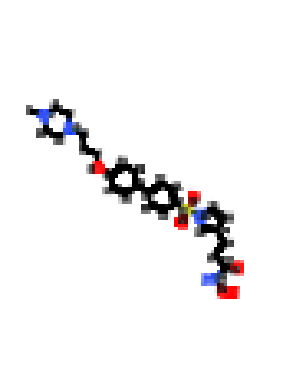 CN1CCN(CCCOc2ccc(-c3ccc(S(=O)(=O)n4ccc(C=CC(=O)NO)c4)cc3)cc2)CC1